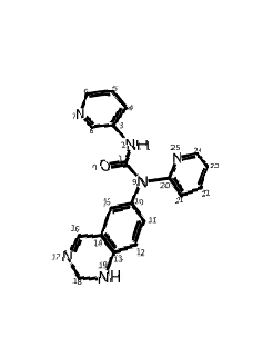 O=C(Nc1cccnc1)N(c1ccc2c(c1)C=NCN2)c1ccccn1